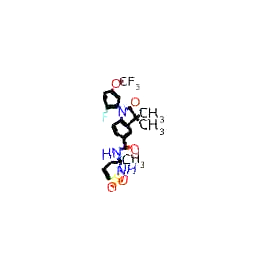 CC1(C)C(=O)N(c2cc(OC(F)(F)F)ccc2F)c2ccc(C(=O)N[C@@]3(C)CC=CS(=O)(=O)N3)cc21